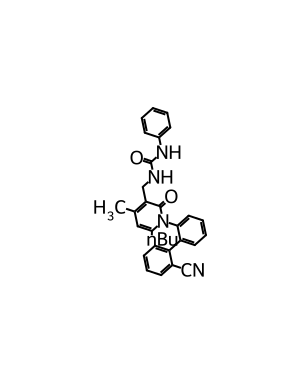 CCCCc1cc(C)c(CNC(=O)Nc2ccccc2)c(=O)n1-c1ccccc1-c1ccccc1C#N